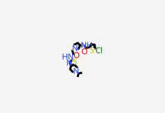 CC(C)N1CCc2nc(NC(=O)CN3CC[C@@H](NC(=O)c4ccc(Cl)s4)C3)sc2C1